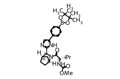 COC(=O)N[C@H](C(=O)N1[C@H]2CC[C@H](C2)[C@H]1c1ncc(-c2ccc(B3OC(C)(C)C(C)(C)O3)cc2)[nH]1)C(C)C